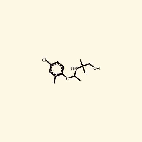 Cc1cc(Cl)ccc1OC(C)NC(C)(C)CO